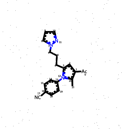 CC(=O)c1cc(CCCn2cccn2)n(-c2ccc(C#N)cc2)c1C